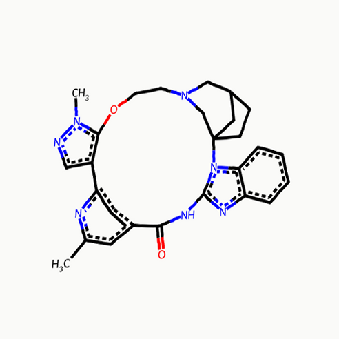 Cc1cc2cc(n1)-c1cnn(C)c1OCCN1CC3CCC(C3)(C1)n1c(nc3ccccc31)NC2=O